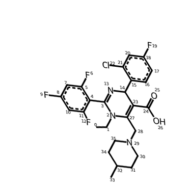 CCN1C(c2c(F)cc(F)cc2F)=NC(c2ccc(F)cc2Cl)C(C(=O)O)=C1CN1CCC(C)CC1